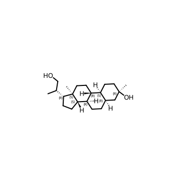 CC(CO)[C@H]1CC[C@H]2[C@@H]3CC[C@@H]4C[C@](C)(O)CC[C@@H]4[C@H]3CC[C@]12C